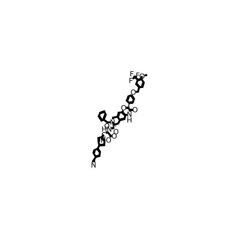 COc1ccc(COc2ccc([C@@H]3Oc4cc5c(cc4NC3=O)C[C@@H](C(=O)NC(Cc3ccc(-c4ccc(C#N)cc4)cc3)C(=O)O)N(C(=O)c3ccccc3)C5)cc2)cc1C(F)(F)F